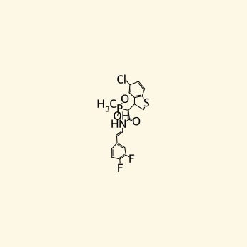 CP(=O)(O)C(C(=O)N/C=C/c1ccc(F)c(F)c1)C1CSc2ccc(Cl)cc21